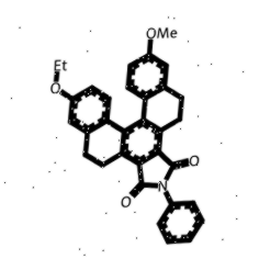 CCOc1ccc2c(c1)CCc1c3c(c4c(c1-2)-c1ccc(OC)cc1CC4)C(=O)N(c1ccccc1)C3=O